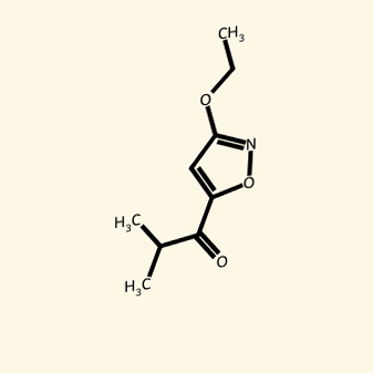 CCOc1cc(C(=O)C(C)C)on1